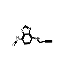 C#CCNc1ccc([PH2]=O)c2scnc12